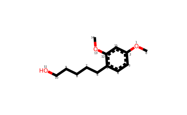 COc1ccc(CCCCCO)c(OC)c1